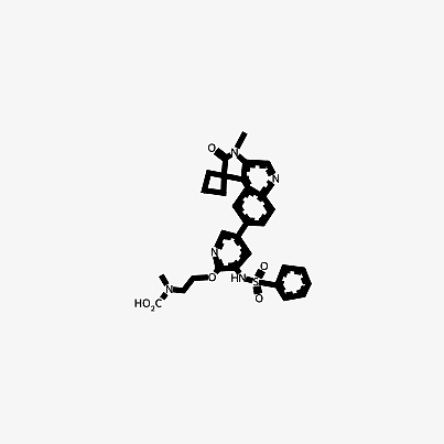 CN(CCOc1ncc(-c2ccc3ncc4c(c3c2)C2(CCC2)C(=O)N4C)cc1NS(=O)(=O)c1ccccc1)C(=O)O